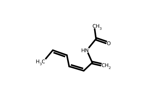 C=C(/C=C\C=C/C)NC(C)=O